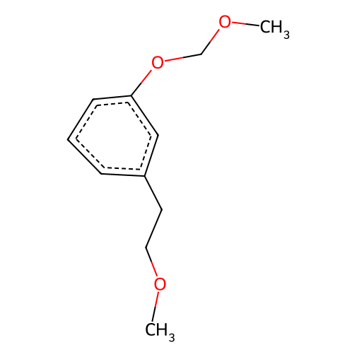 COCCc1cccc(OCOC)c1